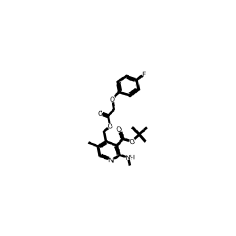 CNc1ncc(C)c(COC(=O)COc2ccc(F)cc2)c1C(=O)OC(C)(C)C